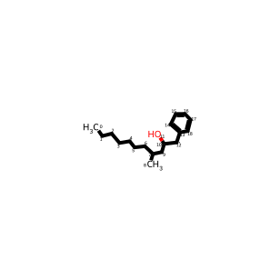 CCCCCCCC(C)CC(O)[CH]c1ccccc1